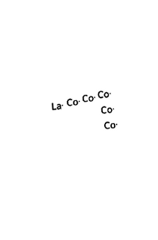 [Co].[Co].[Co].[Co].[Co].[La]